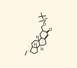 CC[C@H]1CC[C@H]2[C@@H]3CCC4=CC(=O)C(CO[Si](C)(C)C(C)(C)C)C[C@]4(C)[C@H]3CC[C@]12C